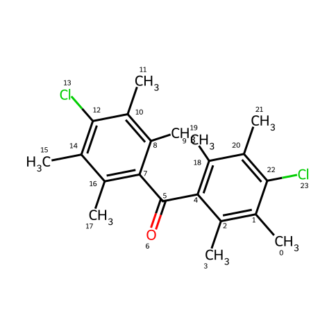 Cc1c(C)c(C(=O)c2c(C)c(C)c(Cl)c(C)c2C)c(C)c(C)c1Cl